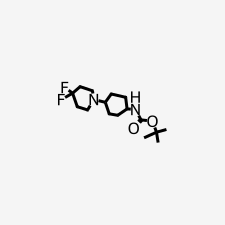 CC(C)(C)OC(=O)NC1CCC(N2CCC(F)(F)CC2)CC1